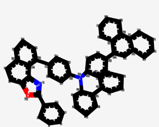 c1ccc(-c2nc3c(ccc4cccc(-c5ccc(N(c6ccc(-c7cc8ccccc8c8ccccc78)cc6)c6ccccc6-c6ccccc6)cc5)c43)o2)cc1